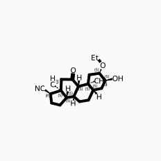 CCO[C@H]1C[C@@]2(C)[C@@H](CC[C@H]3[C@@H]4CC[C@@H](C#N)[C@@]4(C)CC(=O)[C@@H]32)C[C@@H]1O